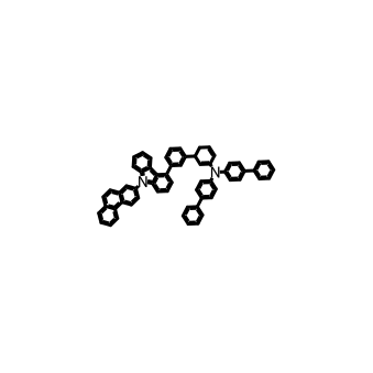 C1=CC(N(c2ccc(-c3ccccc3)cc2)c2ccc(-c3ccccc3)cc2)=CC(c2cccc(-c3cccc4c3c3ccccc3n4-c3ccc4c(ccc5ccccc54)c3)c2)C1